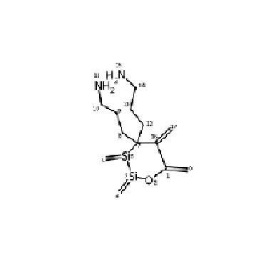 C=C1O[Si](=C)[Si](=C)C(CCCN)(CCCN)C1=C